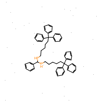 c1ccc(C(PCCCCCC(c2ccccc2)(c2ccccc2)c2ccccc2)PCCCCCC(c2ccccc2)(c2ccccc2)c2ccccc2)cc1